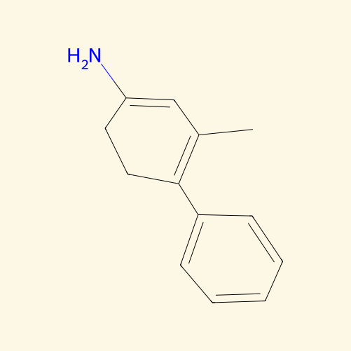 CC1=C(c2ccccc2)CCC(N)=C1